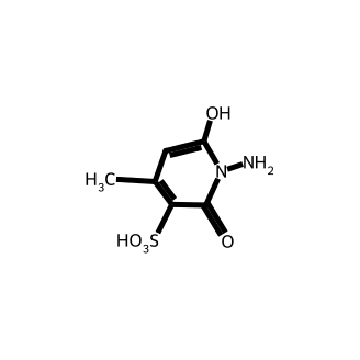 Cc1cc(O)n(N)c(=O)c1S(=O)(=O)O